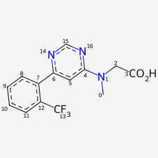 CN(CC(=O)O)c1cc(-c2ccccc2C(F)(F)F)ncn1